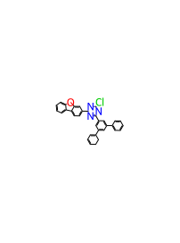 Clc1nc(-c2cc(C3=CC=CCC3)cc(-c3ccccc3)c2)nc(-c2ccc3c(c2)oc2ccccc23)n1